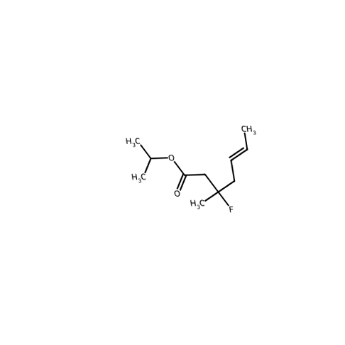 CC=CCC(C)(F)CC(=O)OC(C)C